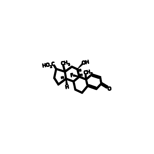 CC12C[C@H](O)[C@@]3(F)C(CCC4=CC(=O)C=CC43C)[C@@H]1CCC2C(=O)O